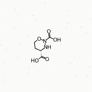 O=C(O)[C@@H]1CCON(C(=O)O)N1